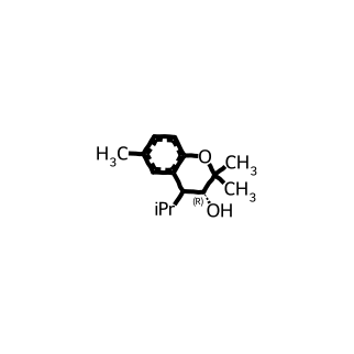 Cc1ccc2c(c1)C(C(C)C)[C@@H](O)C(C)(C)O2